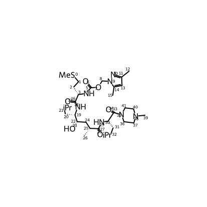 CSCC[C@H](NC(=O)OCn1nc(C)cc1C)C(=O)N[C@@H](CC(C)C)[C@@H](O)C[C@@H](C)C(=O)N[C@@H](CC(C)C)C(=O)N1CCN(C)CC1